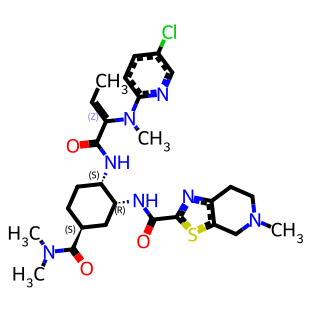 C/C=C(/C(=O)N[C@H]1CC[C@H](C(=O)N(C)C)C[C@H]1NC(=O)c1nc2c(s1)CN(C)CC2)N(C)c1ccc(Cl)cn1